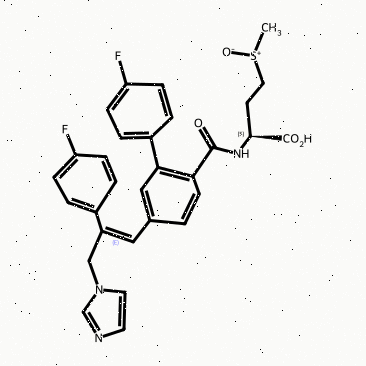 C[S+]([O-])CC[C@H](NC(=O)c1ccc(/C=C(/Cn2ccnc2)c2ccc(F)cc2)cc1-c1ccc(F)cc1)C(=O)O